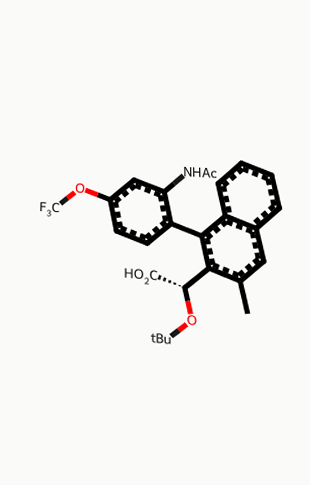 CC(=O)Nc1cc(OC(F)(F)F)ccc1-c1c([C@H](OC(C)(C)C)C(=O)O)c(C)cc2ccccc12